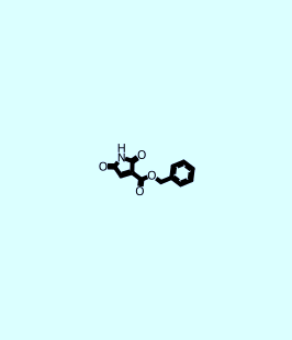 O=C1C=C(C(=O)OCc2ccccc2)C(=O)N1